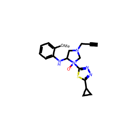 C#CCN1CC(Nc2ccccc2OC)[N+]([O-])(c2nnc(C3CC3)s2)C1